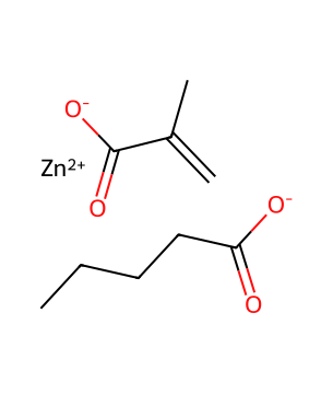 C=C(C)C(=O)[O-].CCCCC(=O)[O-].[Zn+2]